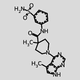 Cc1c[nH]c2ncnc(N3CCC(C)(C(=O)Nc4cccc(S(N)(=O)=O)c4)CC3)c12